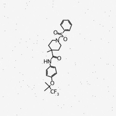 CC1(C(=O)Nc2ccc(OC(C)(C)C(F)(F)F)cc2)CCN(S(=O)(=O)c2ccccc2)CC1